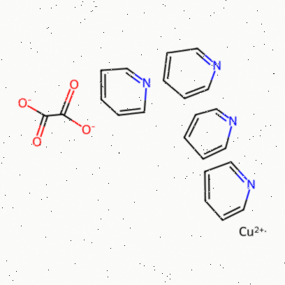 O=C([O-])C(=O)[O-].[Cu+2].c1ccncc1.c1ccncc1.c1ccncc1.c1ccncc1